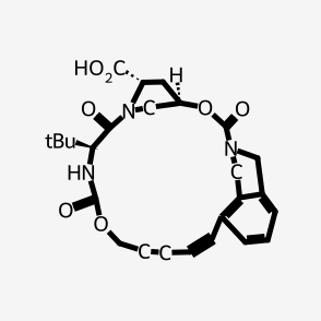 CC(C)(C)[C@@H]1NC(=O)OCCCC#Cc2cccc3c2CN(C3)C(=O)O[C@@H]2C[C@@H](C(=O)O)N(C2)C1=O